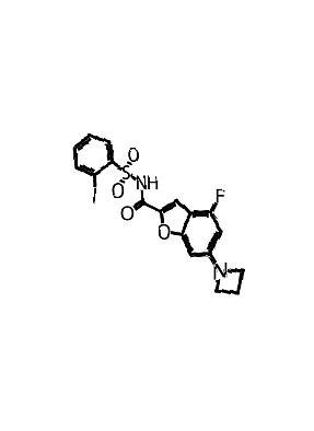 O=C(NS(=O)(=O)c1ccccc1I)c1cc2c(F)cc(N3CCC3)cc2o1